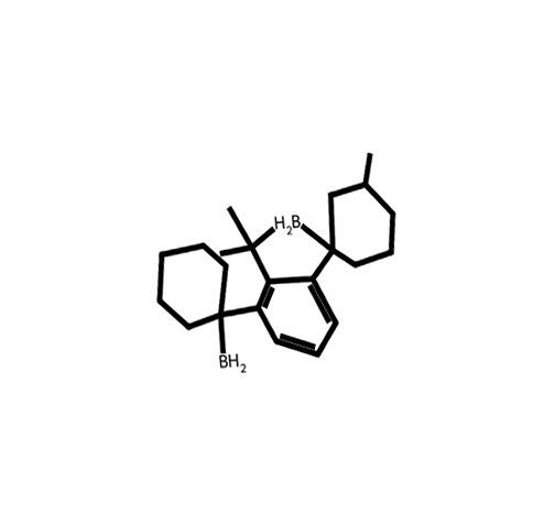 BC1(c2cccc(C3(B)CCCC(C)C3)c2C(C)(C)C)CCCCC1